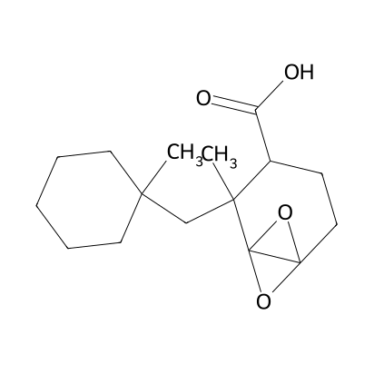 CC1(CC2(C)C(C(=O)O)CCC34OC32O4)CCCCC1